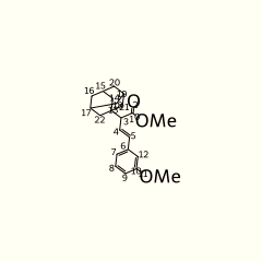 COC(=O)C(C=Cc1cccc(OC)c1)C12CC3CC(CC(C3)C1)C2